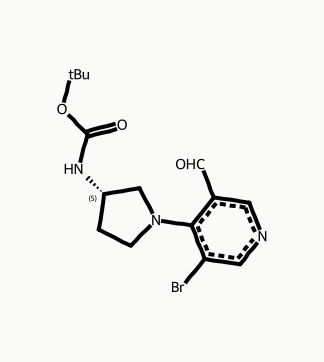 CC(C)(C)OC(=O)N[C@H]1CCN(c2c(Br)cncc2C=O)C1